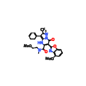 COCCN(C)C(=O)c1[nH]c2c(-c3ccccc3)c(C(F)(F)F)nn2c(=O)c1-c1nc2c(OC)cccc2o1